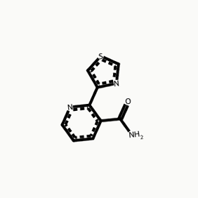 NC(=O)c1cccnc1-c1cscn1